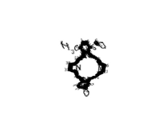 CC1C=CC(SC=O)c2c1c1cc3nc(cc4[nH]c(cc5nc(cc2[nH]1)C=C5)c1c4C2C=CC1C(=O)S2)C=C3